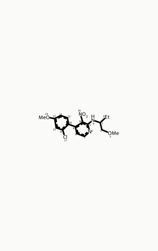 CCC(COC)Nc1nccc(-c2ccc(OC)cc2Cl)c1[N+](=O)[O-]